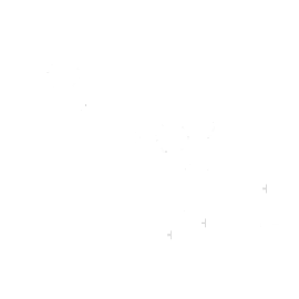 CCCc1c(OCCCOc2cccc3c2CCCC3)ccc2c1OC(CCC(O)CO)(CCC(O)CO)CC2=O